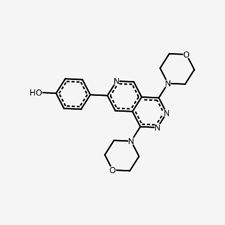 Oc1ccc(-c2cc3c(N4CCOCC4)nnc(N4CCOCC4)c3cn2)cc1